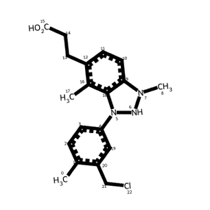 Cc1ccc(N2NN(C)c3ccc(CCC(=O)O)c(C)c32)cc1CCl